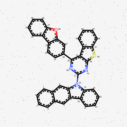 c1ccc2cc3c(cc2c1)c1ccccc1n3-c1nc(-c2ccc3c(c2)oc2ccccc23)c2c(n1)sc1ccccc12